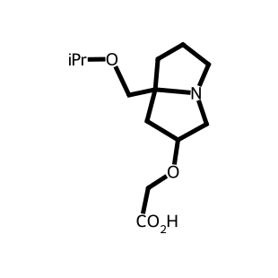 CC(C)OCC12CCCN1CC(OCC(=O)O)C2